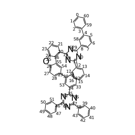 c1ccc(-c2cccc(-c3nc(-c4ccccc4)nc(-c4cccc5oc6ccc(-c7cccc(-c8nc(-c9ccccc9)nc(-c9ccccc9)n8)c7)cc6c45)n3)c2)cc1